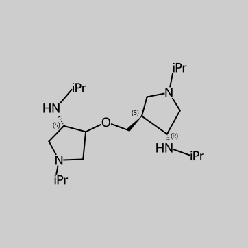 CC(C)N[C@H]1CN(C(C)C)CC1OC[C@H]1CN(C(C)C)C[C@@H]1NC(C)C